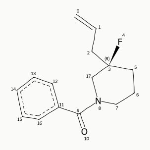 C=CC[C@]1(F)CCCN(C(=O)c2ccccc2)C1